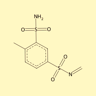 C=NS(=O)(=O)c1ccc(C)c(S(N)(=O)=O)c1